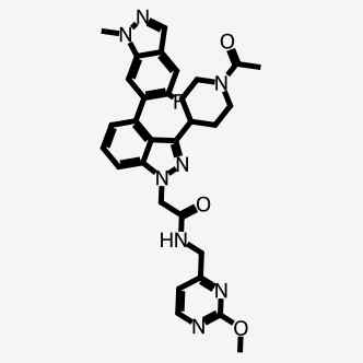 COc1nccc(CNC(=O)Cn2nc(C3CCN(C(C)=O)CC3)c3c(-c4cc5c(cnn5C)cc4F)cccc32)n1